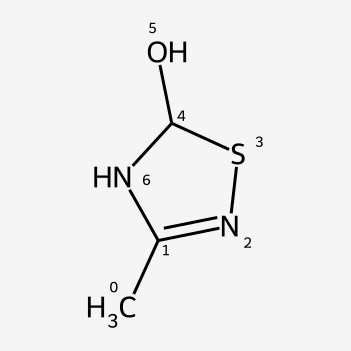 CC1=NSC(O)N1